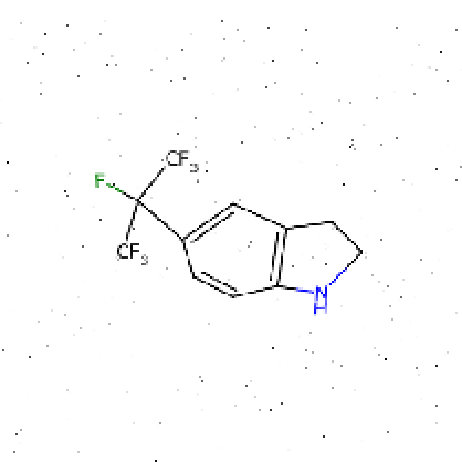 FC(F)(F)C(F)(c1ccc2c(c1)CCN2)C(F)(F)F